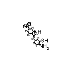 Nc1ccc(Cc2c[nH]c3cc([N+](=O)[O-])ccc23)cc1O